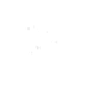 Cc1cccc([S])c1C.Cl.F.F.F.F